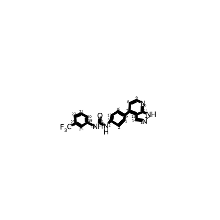 O=C(Nc1ccc(-c2ccnc3[nH]ncc23)cc1)Nc1cccc(C(F)(F)F)c1